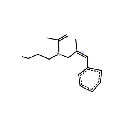 C=C(C)N(CCCC)C/C(C)=C\c1ccccc1